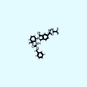 O=C(N[C@H]1[C@H](N2Cc3ccc(-c4nnc(C(F)F)o4)cc3C2=O)CCCC1(F)F)OCc1ccccc1